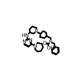 O=C(O)N(Cc1ccccc1)CC1CCC(N2CCCC(Nc3nccc(N4CCCCCC4)n3)C2)CC1